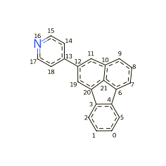 c1ccc2c(c1)-c1cccc3cc(-c4ccncc4)cc-2c13